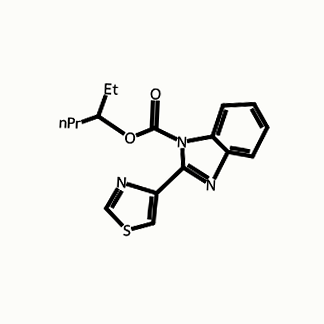 CCCC(CC)OC(=O)n1c(-c2cscn2)nc2ccccc21